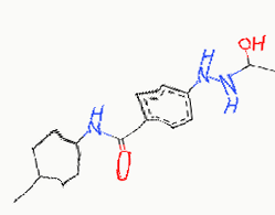 CC1CCC(NC(=O)c2ccc(NNC(C)O)cc2)CC1